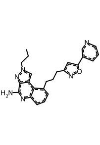 CCCn1cc2c(n1)c(N)nc1cccc(CCCc3cc(-c4cccnc4)on3)c12